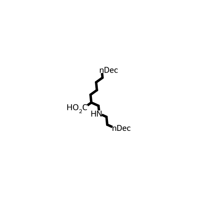 CCCCCCCCCCCCCCC(CNCCCCCCCCCCCC)C(=O)O